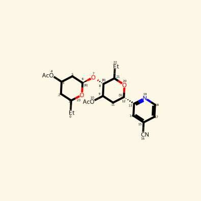 CCC1CC(OC(C)=O)C[C@@H](O[C@H]2C(OC(C)=O)C[C@@H](c3cc(C#N)ccn3)OC2CC)O1